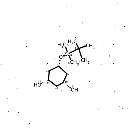 CC(C)(C)[Si](C)(C)O[C@@H]1C[C@H](O)C[C@H](O)C1